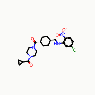 O=C(C1CC1)N1CCN(C(=O)[C@H]2CC[C@H](CNc3cc(Cl)ccc3[N+](=O)[O-])CC2)CC1